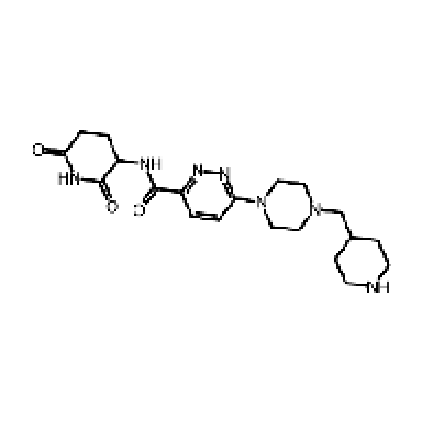 O=C1CCC(NC(=O)c2ccc(N3CCN(CC4CCNCC4)CC3)nn2)C(=O)N1